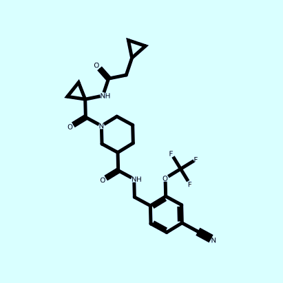 N#Cc1ccc(CNC(=O)C2CCCN(C(=O)C3(NC(=O)CC4CC4)CC3)C2)c(OC(F)(F)F)c1